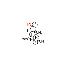 CO[C@H]1C[C@H]2C[C@@](O)(C(F)(F)F)CC[C@]2(C)[C@H]2CC[C@]3(C)CCC[C@H]3[C@H]12